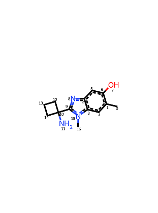 Cc1cc2c(cc1O)nc(C1(N)CCC1)n2C